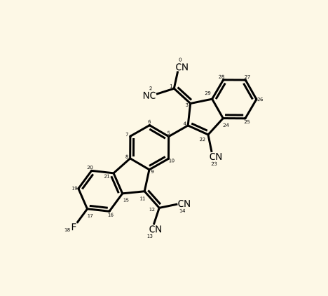 N#CC(C#N)=C1C(c2ccc3c(c2)C(=C(C#N)C#N)c2cc(F)ccc2-3)=C(C#N)c2ccccc21